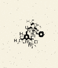 CC(C)C[C@@H](C(=O)NCc1cc(C(C)(C)C)cc(C(C)(C)C)c1)n1cc[n+](Cc2ccccc2)c1.[Cl-]